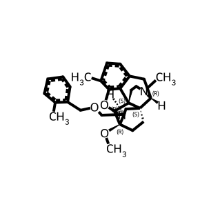 CO[C@]12CC[C@@]3(C[C@@H]1COCc1ccccc1C)[C@H]1Cc4ccc(C)c5c4[C@@]3(CCN1C)[C@H]2O5